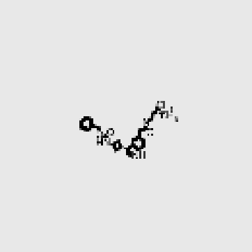 CN(C)CC=NC(=O)Cc1ccc2[nH]cc([C@H]3C[C@H](NC(=O)OCc4ccccc4)C3)c2c1